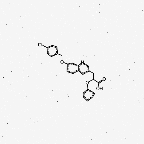 O=C(O)C(Cc1cnc2cc(OCc3ccc(Cl)cc3)ccc2c1)Oc1ccccc1